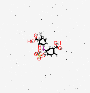 Cc1ccc([I+]c2ccc(C)c(C(=O)O)c2)cc1C(=O)O.O=S(=O)([O-])O